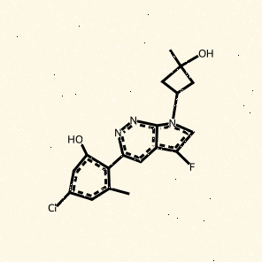 Cc1cc(Cl)cc(O)c1-c1cc2c(F)cn(C3CC(C)(O)C3)c2nn1